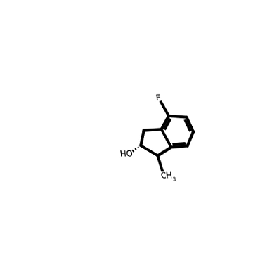 CC1c2cccc(F)c2C[C@H]1O